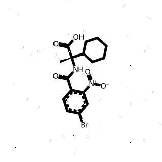 C[C@@](NC(=O)c1ccc(Br)cc1[N+](=O)[O-])(C(=O)O)C1CCCCC1